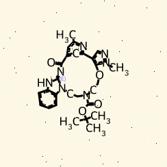 Cc1cc2cc(n1)-c1cnn(C)c1OCCN(C(=O)OC(C)(C)C)CCN1/C(=N/C2=O)Nc2ccccc21